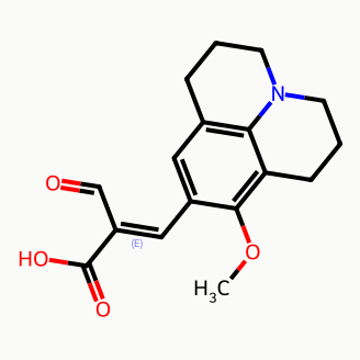 COc1c(/C=C(\C=O)C(=O)O)cc2c3c1CCCN3CCC2